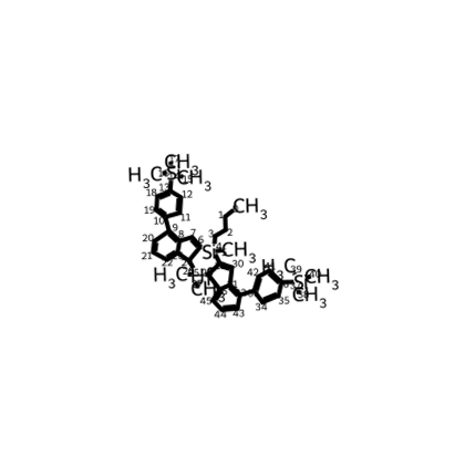 CCCC[Si]1(C)C2=Cc3c(-c4ccc([Si](C)(C)C)cc4)cccc3[CH]2[Hf]([CH3])([CH3])[CH]2C1=Cc1c(-c3ccc([Si](C)(C)C)cc3)cccc12